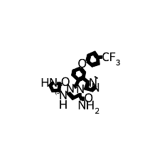 Cn1nccc1-c1cc(Oc2ccc(C(F)(F)F)cc2)ccc1-c1nc(N[C@H]2CCNC2=O)cc(C(N)=O)n1